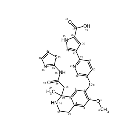 COc1cc2c(cc1Oc1ccc(-c3c[nH]c(C(=O)O)c3)nc1)C(C)(CC(=O)Nc1nccs1)NCC2